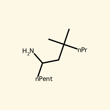 CCCCCC(N)CC(C)(C)CCC